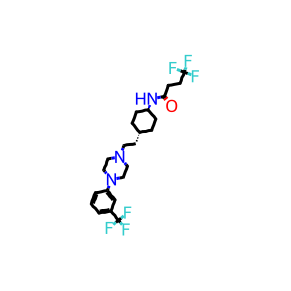 O=C(CCC(F)(F)F)N[C@H]1CC[C@H](CCN2CCN(c3cccc(C(F)(F)F)c3)CC2)CC1